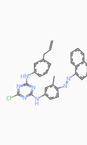 C=CCc1cccc(Nc2nc(Cl)nc(Nc3ccc(N=Nc4cccc5ccccc45)c(C)c3)n2)c1